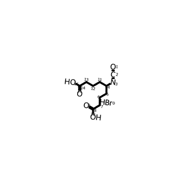 Br.O=C=NC(CCCC(=O)O)CCCC(=O)O